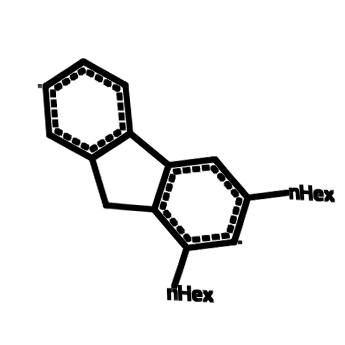 CCCCCCc1[c]c(CCCCCC)c2c(c1)-c1cc[c]cc1C2